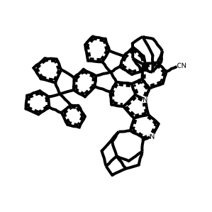 N#Cc1cc2c(c3c1C1CC4CC(C1)CC3C4)c1c3c(cc4c5c6c(ncc5n2c41)C1CC2CC4CC6CC24C1)-c1cc2c(cc1C31c3ccccc3-c3ccccc31)-c1ccccc1C21c2ccccc2-c2ccccc21